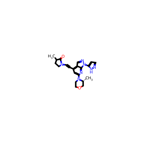 CC1CCN(C#Cc2cc(N3CCOC[C@H]3C)nc3c2cnn3-c2ccn[nH]2)C1=O